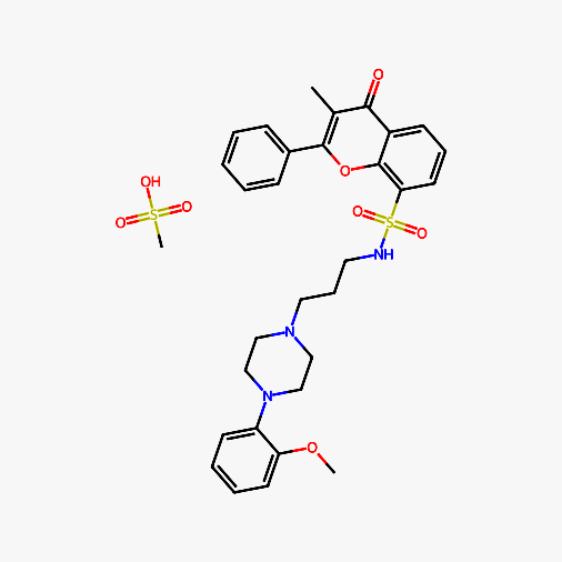 COc1ccccc1N1CCN(CCCNS(=O)(=O)c2cccc3c(=O)c(C)c(-c4ccccc4)oc23)CC1.CS(=O)(=O)O